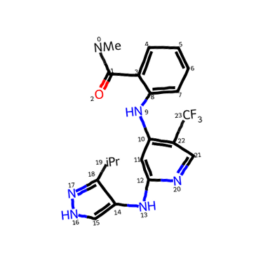 CNC(=O)c1ccccc1Nc1cc(Nc2c[nH]nc2C(C)C)ncc1C(F)(F)F